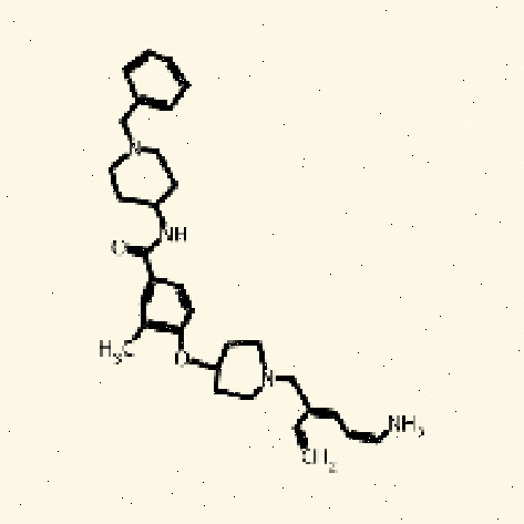 C=C/C(=C\C=C/N)CN1CCC(Oc2ccc(C(=O)NC3CCN(Cc4ccccc4)CC3)cc2C)CC1